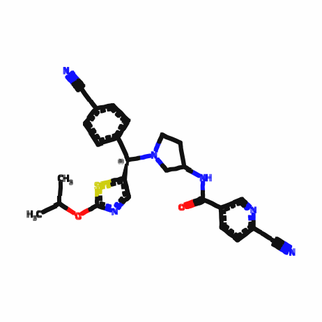 CC(C)Oc1ncc([C@@H](c2ccc(C#N)cc2)N2CCC(NC(=O)c3ccc(C#N)nc3)C2)s1